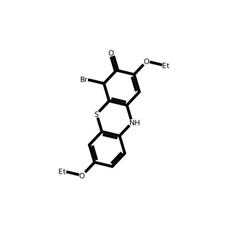 CCOC1=CC2=C(Sc3cc(OCC)ccc3N2)C(Br)C1=O